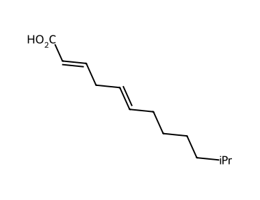 CC(C)CCCCC=CCC=CC(=O)O